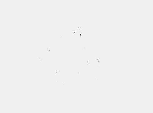 CO[C@@H]1/C=C/CN[C@@H](C(C)C)C(=O)NS(=O)(=O)c2ccc3c(c2)N(C[C@@H]2CC[C@H]21)C[C@@]1(CCCc2cc(Cl)ccc21)CO3